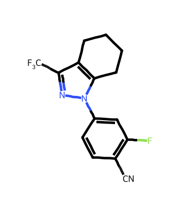 N#Cc1ccc(-n2nc(C(F)(F)F)c3c2CCCC3)cc1F